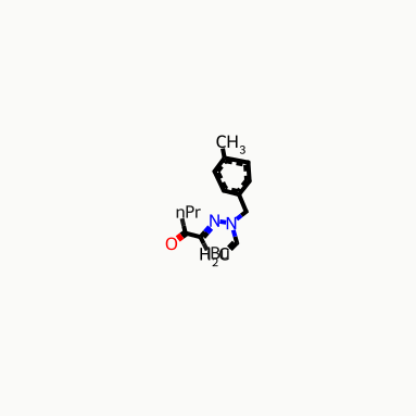 C=CN(Cc1ccc(C)cc1)/N=C(/C(=O)CCC)C(C)CC